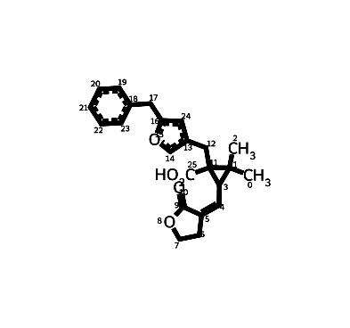 CC1(C)C(C=C2CCOC2=O)C1(Cc1coc(Cc2ccccc2)c1)C(=O)O